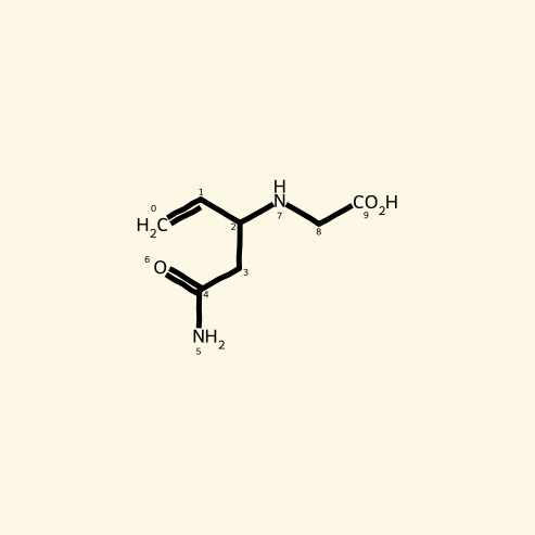 C=CC(CC(N)=O)NCC(=O)O